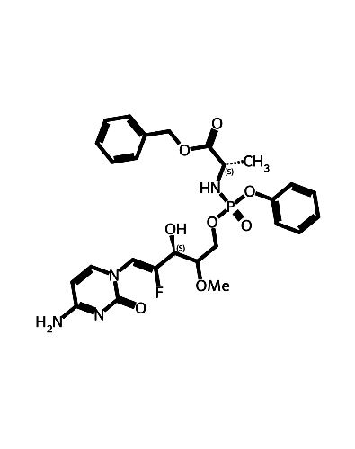 COC(COP(=O)(N[C@@H](C)C(=O)OCc1ccccc1)Oc1ccccc1)[C@H](O)C(F)=Cn1ccc(N)nc1=O